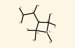 CC(C)C(C)C1C(C)(C)N(C)C1(C)C